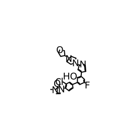 Cn1ccn(-c2ccc(-c3cc(F)cc(-c4ccnc(N5CCN(C6CCOC6)CC5)c4)c3O)cc2Cl)c1=O